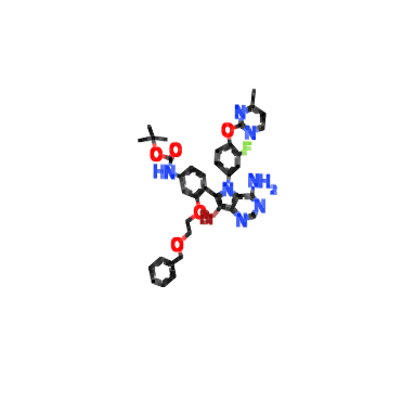 Cc1ccnc(Oc2ccc(-n3c(-c4ccc(NC(=O)OC(C)(C)C)cc4OCCOCc4ccccc4)c(Br)c4ncnc(N)c43)cc2F)n1